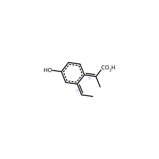 C/C=c1/cc(O)cc/c1=C(/C)C(=O)O